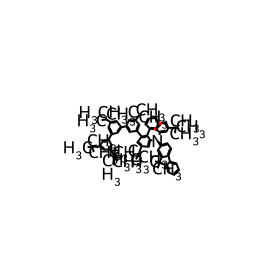 CC(C)(C)c1cc(-c2cc(-c3cc(C(C)(C)C)cc(N(c4cccc(C(C)(C)C)c4)c4ccc5c(c4)C(C)(C)c4ccccc4-5)c3-c3ccccc3)cc(C(C)(C)C)c2)cc(-c2cc(C(C)(C)C)cc(C(C)(C)C)c2)c1